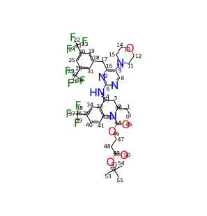 CC[C@@H]1C[C@H](Nc2ncc(N3CCOCC3)c(Cc3cc(C(F)(F)F)cc(C(F)(F)F)c3)n2)c2cc(C(F)(F)F)ccc2N1C(=O)OCCC(=O)OC(C)(C)C